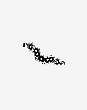 CC(C)C1CCN(c2ccc3cc4c(cc3c2)oc2cc3oc5cc6cc(N7CCC(C(C)C)CC7)ccc6cc5c3cc24)CC1